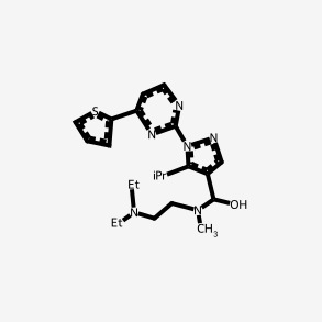 CCN(CC)CCN(C)C(O)c1cnn(-c2nccc(-c3cccs3)n2)c1C(C)C